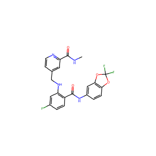 CNC(=O)c1cc(CNc2cc(F)ccc2C(=O)Nc2ccc3c(c2)OC(F)(F)O3)ccn1